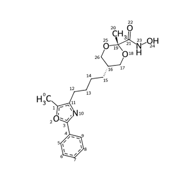 Cc1oc(-c2ccccc2)nc1CCCC[C@H]1CO[C@@](C)(C(=O)NO)OC1